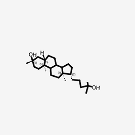 CC(C)(O)CCC[C@H]1CCC2C3CC[C@H]4C[C@@](C)(O)CC[C@]4(C)C3CC[C@@]21C